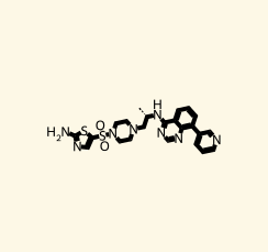 C[C@@H](CN1CCN(S(=O)(=O)c2cnc(N)s2)CC1)Nc1ncnc2c(-c3cccnc3)cccc12